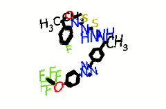 CC(C)c1ccc(F)cc1N1C(=O)CS/C1=N\C(=S)NNC(C)c1ccc(-c2ncn(-c3ccc(OC(F)(F)C(F)(F)F)cc3)n2)cc1